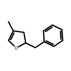 CC1=COC(Cc2ccccc2)C1